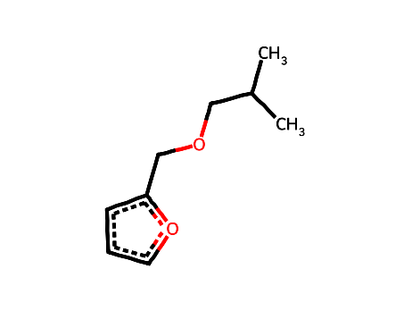 CC(C)COCc1ccco1